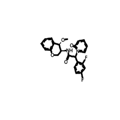 CO[C@H]1c2ccccc2OC[C@@H]1NC(=O)C(c1ccc(F)cc1F)n1ccccc1=O